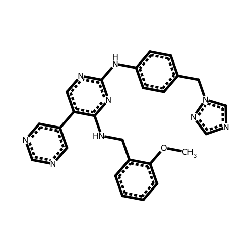 COc1ccccc1CNc1nc(Nc2ccc(Cn3cncn3)cc2)ncc1-c1cncnc1